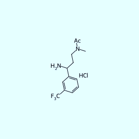 CC(=O)N(C)CCC(N)c1cccc(C(F)(F)F)c1.Cl